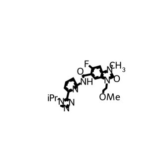 COCCn1c(=O)n(C)c2cc(F)c(C(=O)Nc3cccc(-c4nncn4C(C)C)n3)cc21